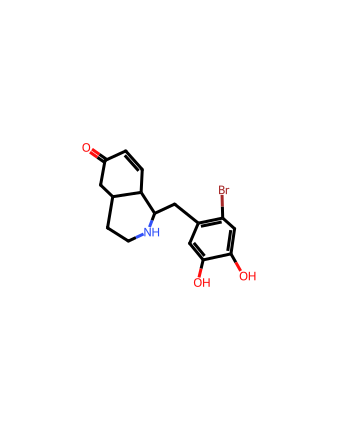 O=C1C=CC2C(CCNC2Cc2cc(O)c(O)cc2Br)C1